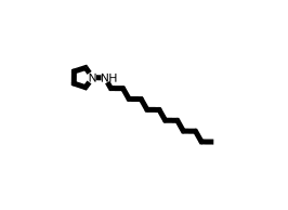 CCCCCCCCCCCCNN1CCCC1